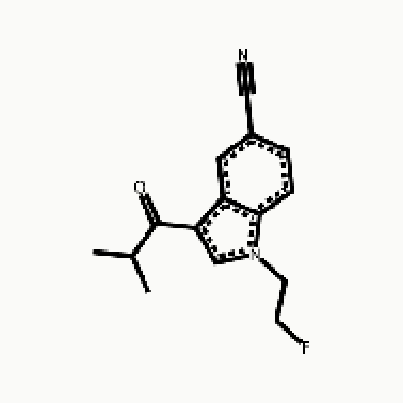 CC(C)C(=O)c1cn(CCF)c2ccc(C#N)cc12